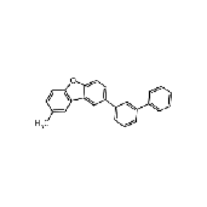 Cc1ccc2oc3ccc(-c4cccc(-c5ccccc5)c4)cc3c2c1